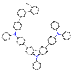 N#Cc1ccccc1-c1cccc(-c2ccc(N(c3ccccc3)c3ccc(-c4ccc5c(c4)c4cc(-c6ccc(N(c7ccccc7)c7ccccc7)cc6)ccc4n5-c4ccccc4)cc3)cc2)c1